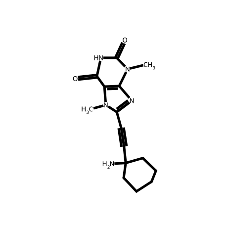 Cn1c(C#CC2(N)CCCCC2)nc2c1c(=O)[nH]c(=O)n2C